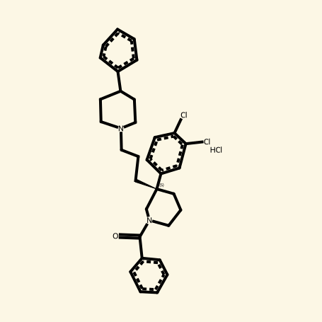 Cl.O=C(c1ccccc1)N1CCC[C@@](CCCN2CCC(c3ccccc3)CC2)(c2ccc(Cl)c(Cl)c2)C1